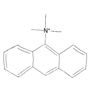 C[N+](C)(C)c1c2ccccc2cc2ccccc12